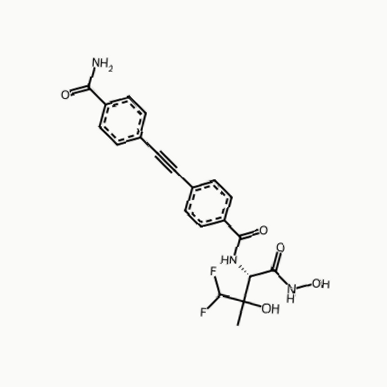 CC(O)(C(F)F)[C@H](NC(=O)c1ccc(C#Cc2ccc(C(N)=O)cc2)cc1)C(=O)NO